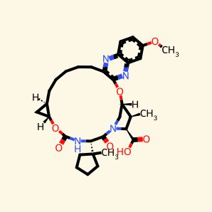 COc1ccc2nc3c(nc2c1)O[C@H]1CN(C(=O)[C@H](C2(C)CCCC2)NC(=O)O[C@@H]2C[C@H]2CCCCC3)[C@H](C(=O)O)[C@@H]1C